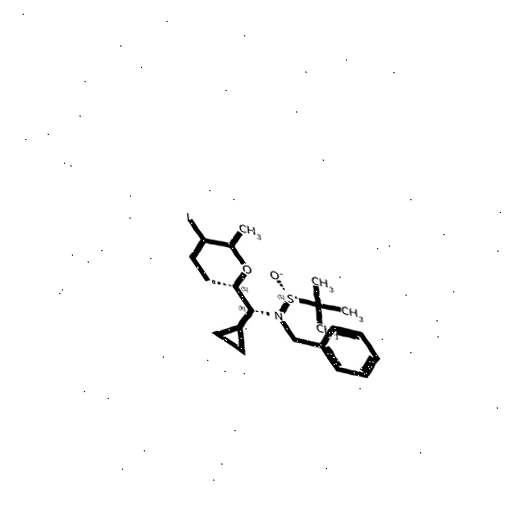 CC1O[C@H]([C@@H](C2CC2)N(Cc2ccccc2)[S@+]([O-])C(C)(C)C)CCC1I